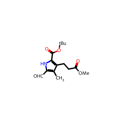 COC(=O)CCc1c(C(=O)OC(C)(C)C)[nH]c(C=O)c1C